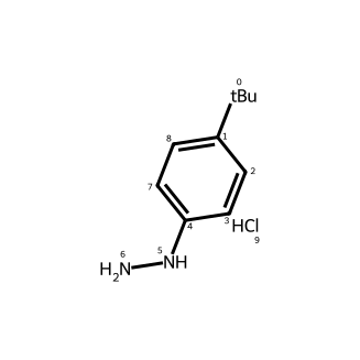 CC(C)(C)c1ccc(NN)cc1.Cl